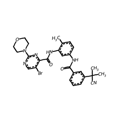 Cc1ccc(NC(=O)c2cccc(C(C)(C)C#N)c2)cc1NC(=O)c1nc(N2CCOCC2)ncc1Br